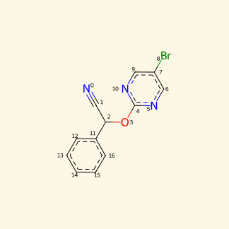 N#CC(Oc1ncc(Br)cn1)c1ccccc1